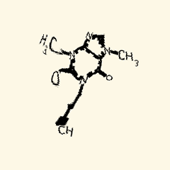 C#CCCn1c(=O)c2c(ncn2C)n(C)c1=O